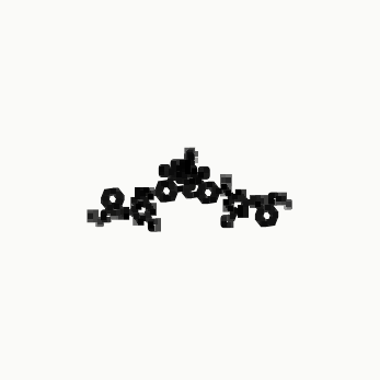 Cc1ccccc1Nc1nc(Cl)nc(Nc2ccc(C=Cc3ccc(Nc4nc(Cl)nc(Nc5ccccc5C)n4)cc3S(=O)(=O)O)c(S(=O)(=O)O)c2)n1.[K].[K]